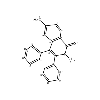 COc1ccc2c(=O)n(C)c(-c3ccccn3)c(-c3ccccc3)c2c1